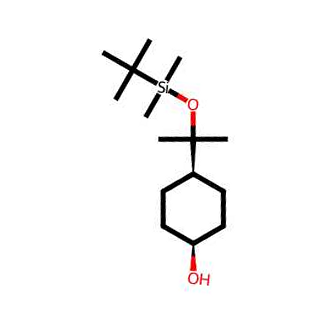 CC(C)(C)[Si](C)(C)OC(C)(C)[C@H]1CC[C@@H](O)CC1